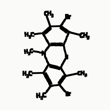 Cc1c(C)c2c(c(C)c1Br)Sc1c(C)c(Br)c(C)c(C)c1N2C